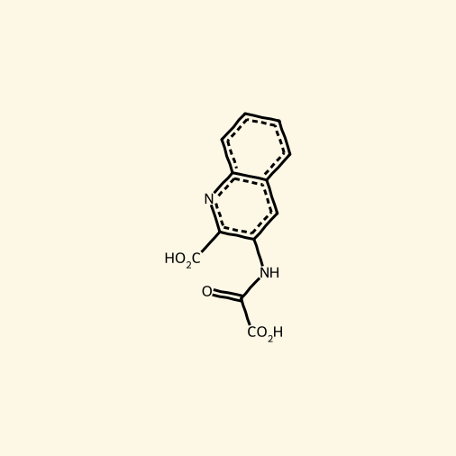 O=C(O)C(=O)Nc1cc2ccccc2nc1C(=O)O